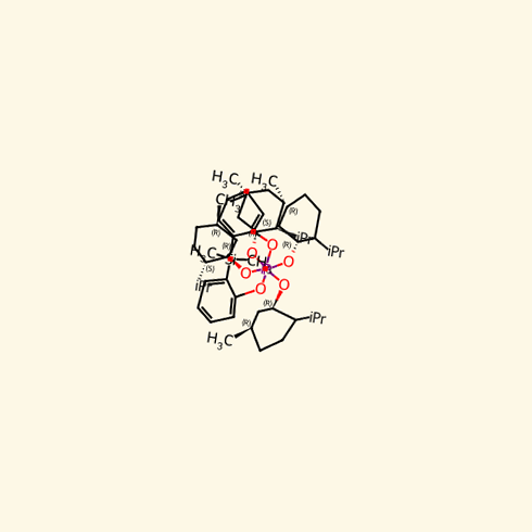 CC(C)C1CC[C@@H](C)C[C@H]1OP(Oc1ccccc1[Si](C)(C)c1ccccc1OP(O[C@@H]1C[C@H](C)CCC1C(C)C)O[C@@H]1C[C@H](C)CC[C@H]1C(C)C)O[C@@H]1C[C@H](C)CC[C@H]1C(C)C